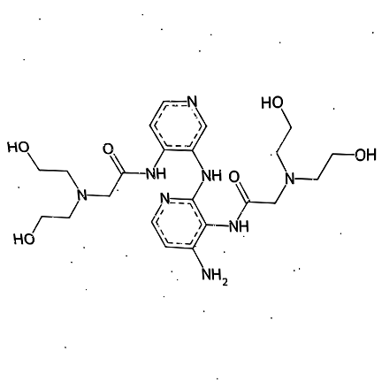 Nc1ccnc(Nc2cnccc2NC(=O)CN(CCO)CCO)c1NC(=O)CN(CCO)CCO